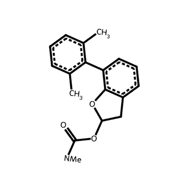 CNC(=O)OC1Cc2cccc(-c3c(C)cccc3C)c2O1